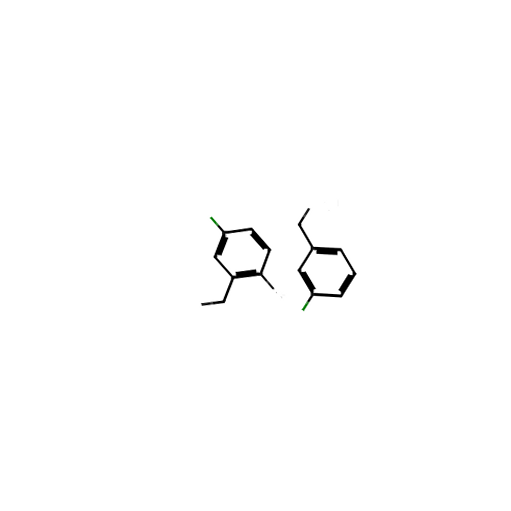 O=C(O)Cc1cc(F)ccc1[N+](=O)[O-].O=C(O)Cc1cccc(F)c1